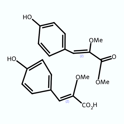 CO/C(=C\c1ccc(O)cc1)C(=O)O.COC(=O)/C(=C/c1ccc(O)cc1)OC